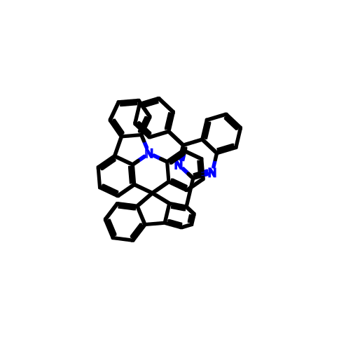 c1ccc(-c2nc(-c3cccc4c3C3(c5ccccc5-4)c4ccccc4-n4c5ccccc5c5cccc3c54)nc3ccccc23)cc1